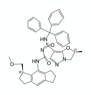 COC[C@@H]1CCc2cc3c(c(NC(=O)N=S(=O)(NC(c4ccccc4)(c4ccccc4)c4ccccc4)c4cnn5c4O[C@@H](C)C5)c21)CCC3